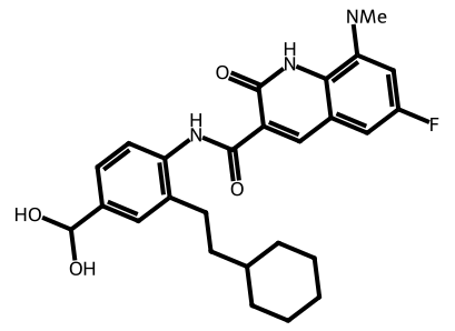 CNc1cc(F)cc2cc(C(=O)Nc3ccc(C(O)O)cc3CCC3CCCCC3)c(=O)[nH]c12